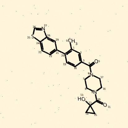 Cc1cc(C(=O)N2CCN(C(=O)C3(O)CC3)CC2)ccc1-c1ccc2scnc2c1